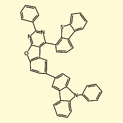 c1ccc(-c2nc(-c3cccc4c3sc3ccccc34)c3c(n2)oc2ccc(-c4ccc5c(c4)c4ccccc4n5-c4ccccc4)cc23)cc1